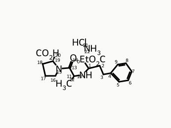 CCOC(=O)C(CCc1ccccc1)NC(C)C(=O)N1CCC[C@H]1C(=O)O.Cl.N